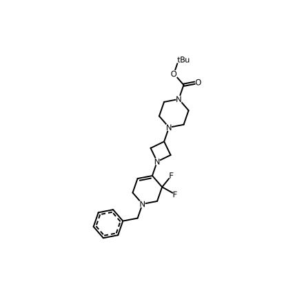 CC(C)(C)OC(=O)N1CCN(C2CN(C3=CCN(Cc4ccccc4)CC3(F)F)C2)CC1